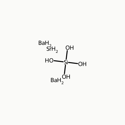 O[Si](O)(O)O.[BaH2].[BaH2].[SrH2]